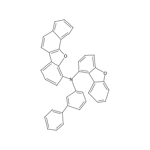 c1ccc(-c2cccc(N(c3cccc4c3oc3c5ccccc5ccc43)c3cccc4oc5ccccc5c34)c2)cc1